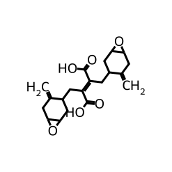 C=C1CC2OC2CC1CC(C(=O)O)=C(CC1CC2OC2CC1=C)C(=O)O